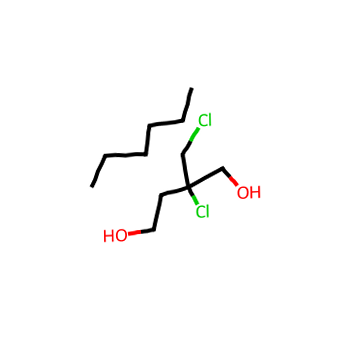 CCCCCC.OCCC(Cl)(CO)CCl